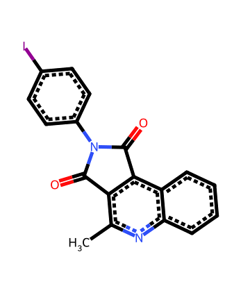 Cc1nc2ccccc2c2c1C(=O)N(c1ccc(I)cc1)C2=O